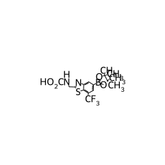 CC1(C)OB(c2cc(C(F)(F)F)c3sc(CNC(=O)O)nc3c2)OC1(C)C